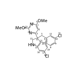 COc1cc(C2(Cc3cccc(Cl)c3)CNc3cc(Cl)ccc32)nc(OC)n1